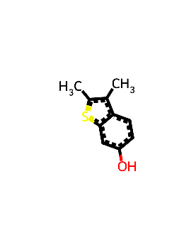 Cc1sc2cc(O)ccc2c1C